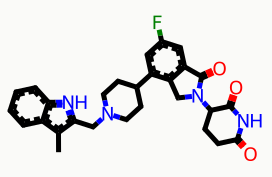 Cc1c(CN2CCC(c3cc(F)cc4c3CN(C3CCC(=O)NC3=O)C4=O)CC2)[nH]c2ccccc12